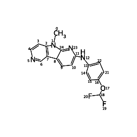 Cn1c2ccncc2c2ccc(Nc3ccc(OC(F)F)cc3)nc21